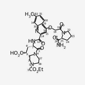 CCOC(=O)N1CCN(C(=O)[C@H](CCC(=O)O)NC(=O)c2cc(OCC(=O)N3CCC[C@H]3C(N)=O)c3ccc(C)cc3n2)CC1